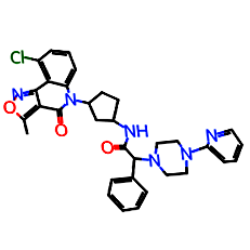 Cc1onc2c1c(=O)n(C1CCC(NC(=O)C(c3ccccc3)N3CCN(c4ccccn4)CC3)C1)c1cccc(Cl)c21